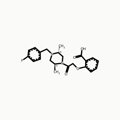 C[C@@H]1CN(C(=O)COc2ccccc2C(=O)O)[C@@H](C)CN1Cc1ccc(F)cc1